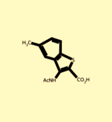 CC(=O)Nc1c(C(=O)O)sc2ccc(C)cc12